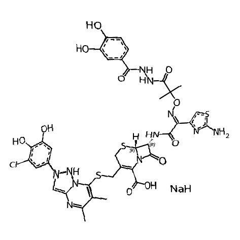 CC1=NC2=CN(c3cc(O)c(O)c(Cl)c3)NN2C(SCC2=C(C(=O)O)N3C(=O)[C@@H](NC(=O)C(=NOC(C)(C)C(=O)NNC(=O)c4ccc(O)c(O)c4)c4csc(N)n4)[C@H]3SC2)=C1C.[NaH]